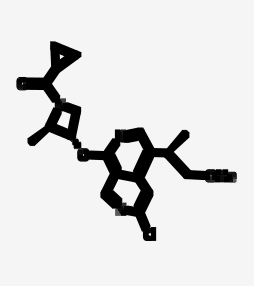 COC[C@H](C)c1cnc(O[C@H]2CN(C(=O)C3CC3)[C@@H]2C)c2cnc(Cl)cc12